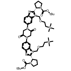 CC(C)(C)OC(=O)N1CCC[C@H]1c1nc2ccc(N3CC(=O)N(c4ccc5nc([C@@H]6CCCN6C(=O)OC(C)(C)C)n(COCC[Si](C)(C)C)c5c4)CC3=O)cc2n1COCC[Si](C)(C)C